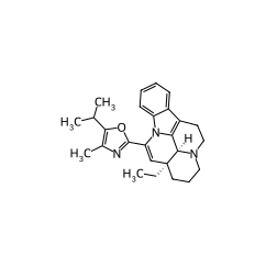 CC[C@@]12C=C(c3nc(C)c(C(C)C)o3)n3c4c(c5ccccc53)CCN(CCC1)[C@H]42